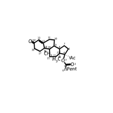 CCCCCC(=O)O[C@]1(C(C)=O)CCC2C3CCC4=CC(=O)CC[C@]4(C)C3CC[C@@]21C